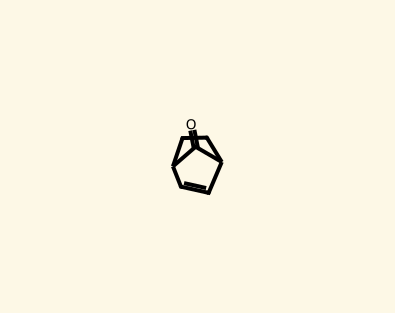 O=C1C2C=CC1CC2